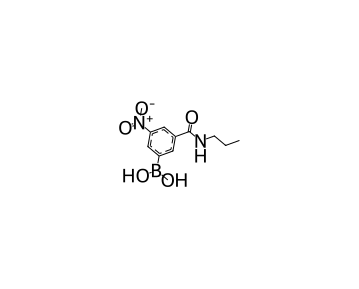 CCCNC(=O)c1cc(B(O)O)cc([N+](=O)[O-])c1